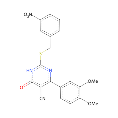 COc1ccc(-c2nc(SCc3cccc([N+](=O)[O-])c3)[nH]c(=O)c2C#N)cc1OC